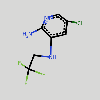 Nc1ncc(Cl)cc1NCC(F)(F)F